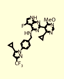 COc1ncnc(C2CC2)c1-c1nc(NCc2ccc(-n3nc(C(F)(F)F)cc3C3CC3)cc2)c2c(F)c[nH]c2n1